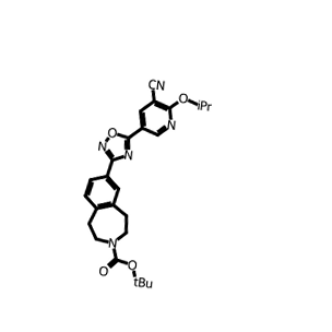 CC(C)Oc1ncc(-c2nc(-c3ccc4c(c3)CCN(C(=O)OC(C)(C)C)CC4)no2)cc1C#N